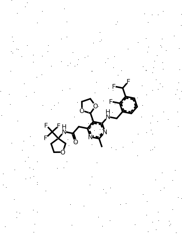 Cc1nc(CC(=O)NC2(C(F)(F)F)CCOC2)c(C2OCCO2)c(NCc2cccc(C(F)F)c2F)n1